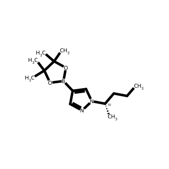 CCC[C@H](C)n1cc(B2OC(C)(C)C(C)(C)O2)cn1